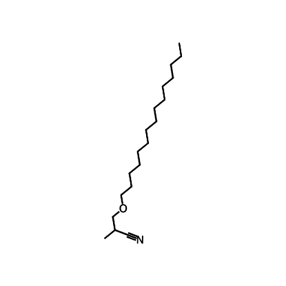 CCCCCCCCCCCCCCCOCC(C)C#N